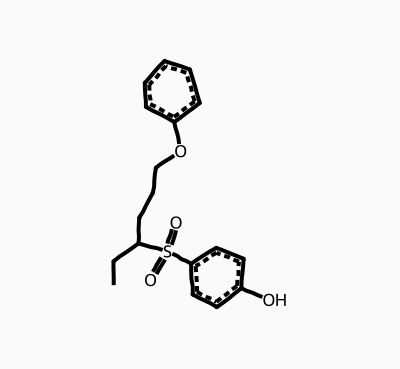 CCC(CCCOc1ccccc1)S(=O)(=O)c1ccc(O)cc1